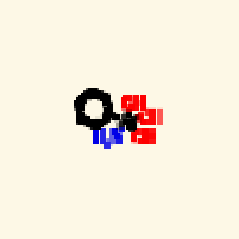 N[As](O)(O)(O)c1ccccc1